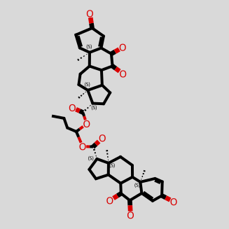 CCCC(OC(=O)[C@H]1CCC2C3C(=O)C(=O)C4=CC(=O)C=C[C@]4(C)C3CC[C@@]21C)OC(=O)[C@H]1CCC2C3C(=O)C(=O)C4=CC(=O)C=C[C@]4(C)C3CC[C@@]21C